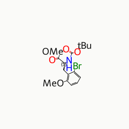 COC(=O)[C@H](Cc1c(Br)cccc1OC)NC(=O)OC(C)(C)C